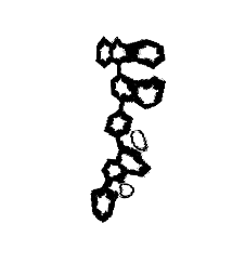 c1ccc2c(-c3ccc(-c4ccc5c(c4)oc4ccc6c(ccc7c8ccccc8oc76)c45)c4ccccc34)c3ccccc3cc2c1